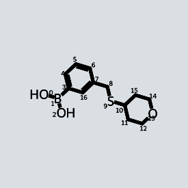 OB(O)c1cccc(CSC2CCOCC2)c1